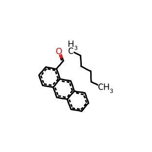 CCCCCC.O=Cc1cccc2cc3ccccc3cc12